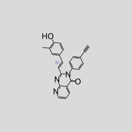 C#Cc1ccc(-n2c(/C=C/c3ccc(O)c(C)c3)nc3ncccc3c2=O)cc1